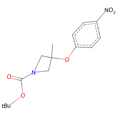 CC(C)(C)OC(=O)N1CC(C)(Oc2ccc([N+](=O)[O-])cc2)C1